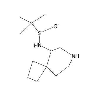 CC(C)(C)[S+]([O-])NC1CNCCC12CCC2